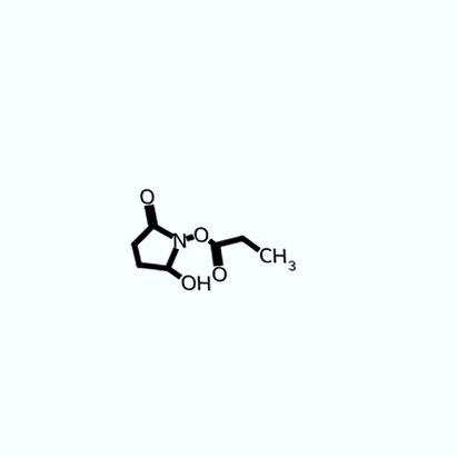 CCC(=O)ON1C(=O)CCC1O